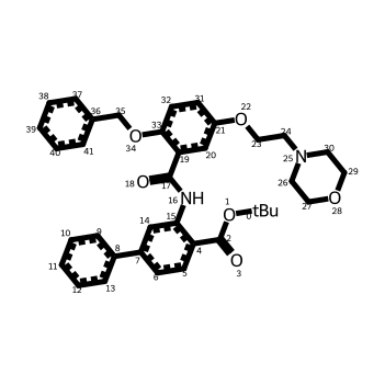 CC(C)(C)OC(=O)c1ccc(-c2ccccc2)cc1NC(=O)c1cc(OCCN2CCOCC2)ccc1OCc1ccccc1